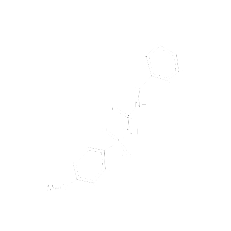 COc1ccc(S(=O)(=O)NC(=O)NCc2ccccc2)cc1